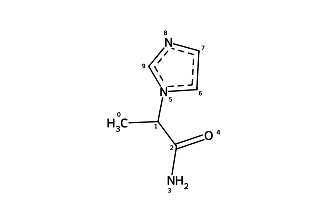 CC(C(N)=O)n1ccnc1